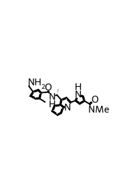 CNC(=O)c1c[nH]c(-c2cc([C@@H](C)NC(=O)c3cc(CN)ccc3C)c3ccccc3n2)c1